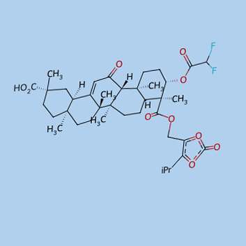 CC(C)c1oc(=O)oc1COC(=O)[C@]1(C)[C@@H](OC(=O)C(F)F)CC[C@@]2(C)[C@H]1CC[C@]1(C)[C@@H]2C(=O)C=C2[C@@H]3C[C@@](C)(C(=O)O)CC[C@]3(C)CC[C@]21C